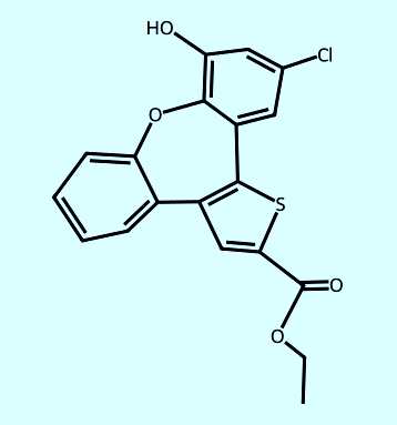 CCOC(=O)c1cc2c(s1)-c1cc(Cl)cc(O)c1Oc1ccccc1-2